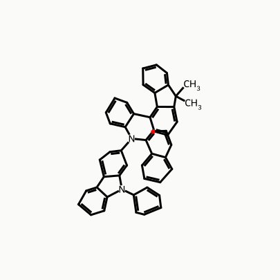 CC1(C)c2ccccc2-c2c(-c3ccccc3N(c3ccc4c5ccccc5n(-c5ccccc5)c4c3)c3cccc4ccccc34)cccc21